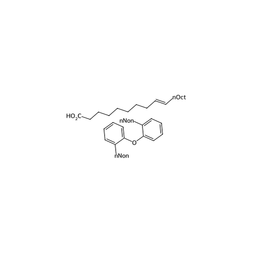 CCCCCCCCC=CCCCCCCCC(=O)O.CCCCCCCCCc1ccccc1Oc1ccccc1CCCCCCCCC